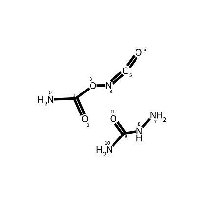 NC(=O)ON=C=O.NNC(N)=O